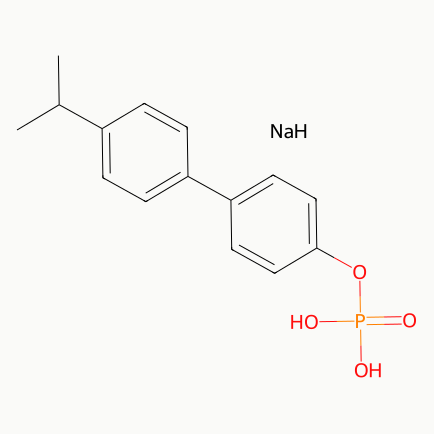 CC(C)c1ccc(-c2ccc(OP(=O)(O)O)cc2)cc1.[NaH]